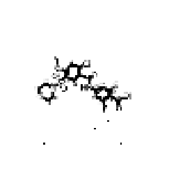 COc1cc(Cl)c(C(=O)Nc2cc(F)c(C(=O)O)c(F)c2)cc1S(=O)(=O)N1CCOCC1